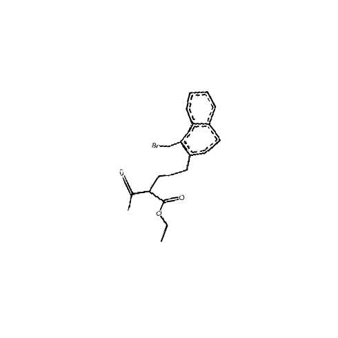 CCOC(=O)C(CCc1ccc2ccccc2c1Br)C(C)=O